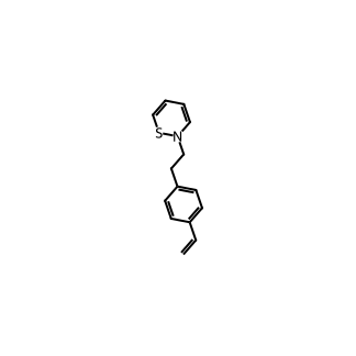 C=Cc1ccc(CCN2C=CC=CS2)cc1